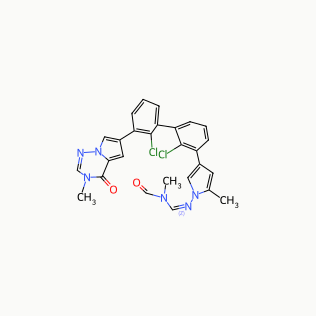 Cc1cc(-c2cccc(-c3cccc(-c4cc5c(=O)n(C)cnn5c4)c3Cl)c2Cl)cn1/N=C\N(C)C=O